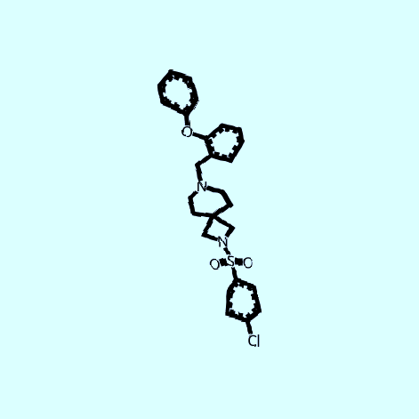 O=S(=O)(c1ccc(Cl)cc1)N1CC2(CCN(Cc3ccccc3Oc3ccccc3)CC2)C1